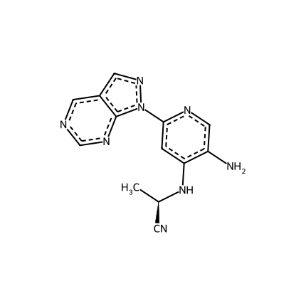 C[C@H](C#N)Nc1cc(-n2ncc3cncnc32)ncc1N